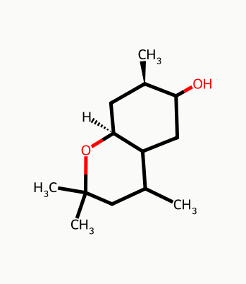 CC1CC(C)(C)O[C@H]2C[C@@H](C)C(O)CC12